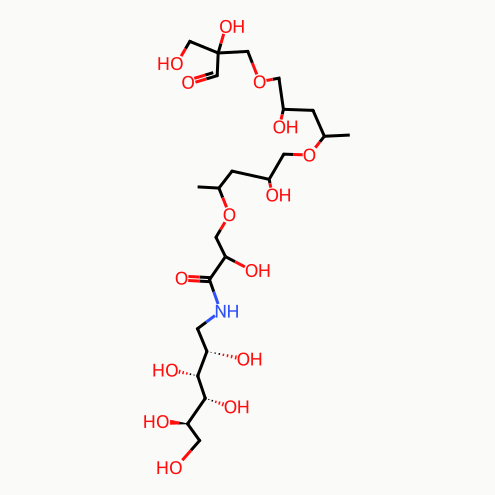 CC(CC(O)COCC(O)(C=O)CO)OCC(O)CC(C)OCC(O)C(=O)NC[C@H](O)[C@@H](O)[C@H](O)[C@H](O)CO